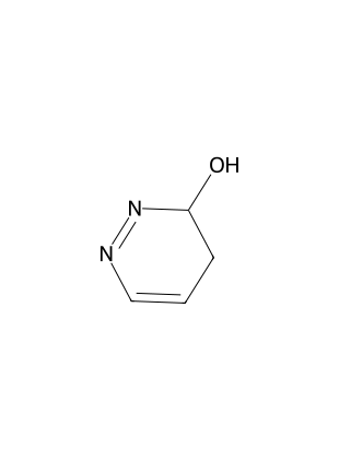 OC1CC=CN=N1